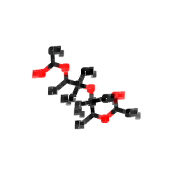 CCC(OC(C)O)[Si](C)(C)O[Si](C)(C)C(CC)OC(C)O